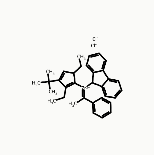 CCC1=[C](/[Zr+2](=[C](\C)c2ccccc2)[CH]2c3ccccc3-c3ccccc32)C(CC)C=C1C(C)(C)C.[Cl-].[Cl-]